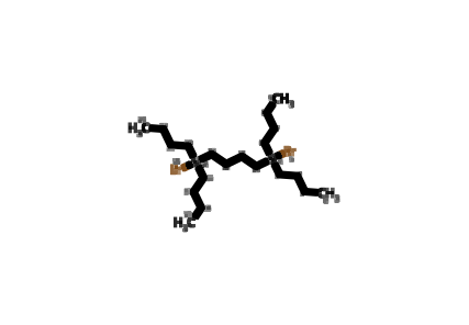 CCCC[Si](Br)(CCCC)CCCC[Si](Br)(CCCC)CCCC